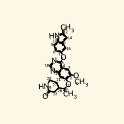 COc1cc2c(Oc3ccc4[nH]c(C)cc4c3)ncnc2cc1OC(C)C1CCNC(=O)C1